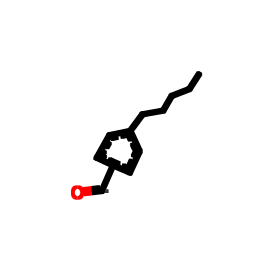 CCCCCc1ccc([C]=O)cc1